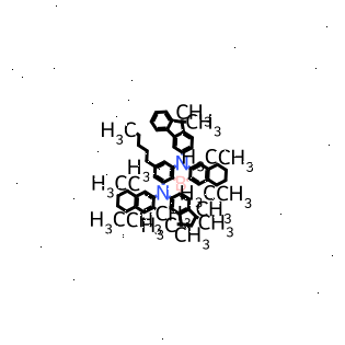 CCCCCc1cc2c3c(c1)N(c1cc4c(cc1C)C(C)(C)CCC4(C)C)c1cc4c(cc1B3c1cc3c(cc1N2c1ccc2c(c1)-c1ccccc1C2(C)C)C(C)(C)CCC3(C)C)C(C)(C)CC4(C)C